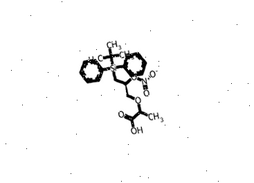 CC(OC[C@@H](C[Si](c1ccccc1)(c1ccccc1)C(C)(C)C)O[N+](=O)[O-])C(=O)O